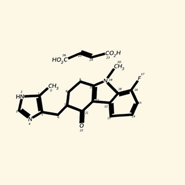 Cc1[nH]cnc1CC1CCc2c(c3cccc(F)c3n2C)C1=O.O=C(O)C=CC(=O)O